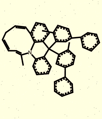 C/C1=C\C=C/CC=Cc2cccc3c2N1c1ccccc1C3(c1cc(-c2ccccc2)ccc1C)c1cc(-c2ccccc2)ccc1C